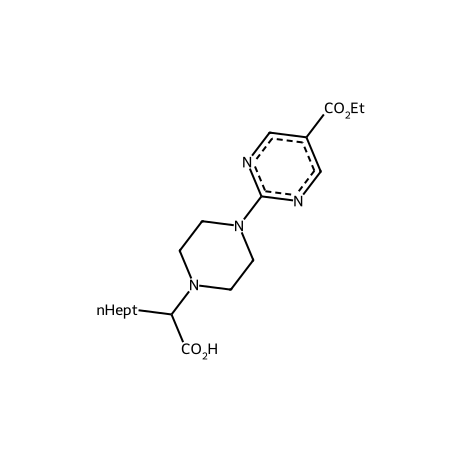 CCCCCCCC(C(=O)O)N1CCN(c2ncc(C(=O)OCC)cn2)CC1